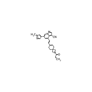 C=CC(=O)N1CC2(CC=C(/C=C/c3cc(-c4cnn(C)c4)cn4ncc(C#N)c34)CC2)C1